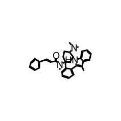 Cc1c(-c2ccccc2C2(N(C)C(=O)/C=C/c3ccccc3)CCC(N(C)C)CC2)[nH]c2ccccc12